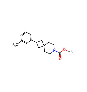 CCCCOC(=O)N1CCC2(CC1)CC(c1cccc(C(F)(F)F)c1)C2